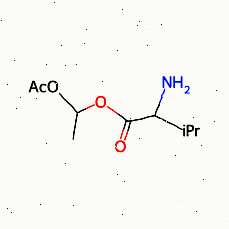 CC(=O)OC(C)OC(=O)C(N)C(C)C